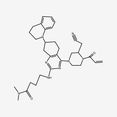 C=CC(=O)N1CCN(c2nc(NCCCC(=O)N(C)C)nc3c2CCC(N2CCCc4ccccc42)C3)CC1CC#N